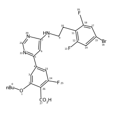 CCCCOc1cc(-c2cc(NCCc3c(F)cc(Br)cc3F)ncn2)cc(F)c1C(=O)O